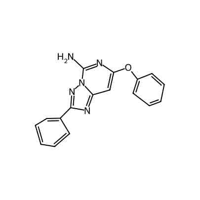 Nc1nc(Oc2ccccc2)cc2nc(-c3ccccc3)nn12